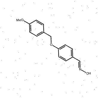 COc1ccc(COc2ccc(C=NO)cc2)cc1